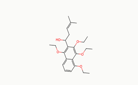 CCOc1c(C(O)CC=C(C)C)c(OCC)c2cccc(OCC)c2c1OCC